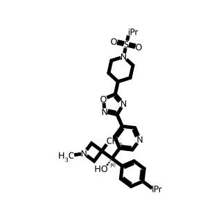 CC(C)c1ccc([C@](O)(c2cncc(-c3noc(C4CCN(S(=O)(=O)C(C)C)CC4)n3)c2)C2(C)CN(C)C2)cc1